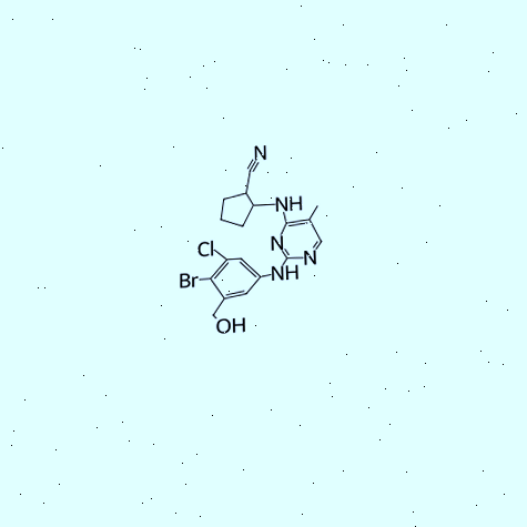 Cc1cnc(Nc2cc(Cl)c(Br)c(CO)c2)nc1NC1CCCC1C#N